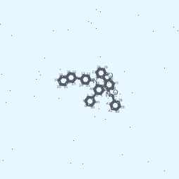 c1ccc(-c2cccc(N(c3ccc(-c4ccc5ccccc5c4)cc3)c3cccc4oc5cc6oc(-c7ccccc7)nc6cc5c34)c2)cc1